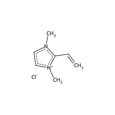 C=Cc1n(C)cc[n+]1C.[Cl-]